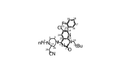 CCCN1CCN(c2nc(=O)n(CC(C)(C)C)c3nc(-c4ccccc4F)c(Cl)cc23)CC1CC#N